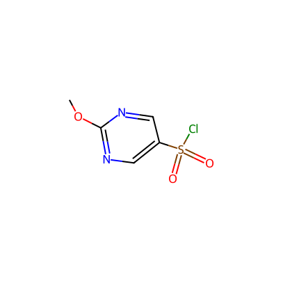 COc1ncc(S(=O)(=O)Cl)cn1